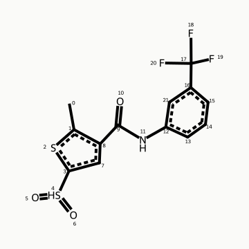 Cc1sc([SH](=O)=O)cc1C(=O)Nc1cccc(C(F)(F)F)c1